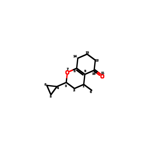 CC1CC(C2CC2)OC2=C1C(=O)CCC2